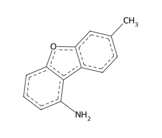 Cc1ccc2c(c1)oc1cccc(N)c12